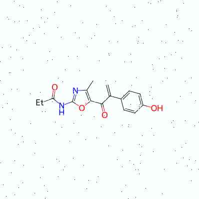 C=C(C(=O)c1oc(NC(=O)CC)nc1C)c1ccc(O)cc1